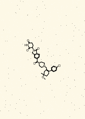 COC1(C)CCC(c2ccc(Cl)cc2)=C(CN2CCN(C(=O)c3ccc4c(c3)CN(C3CCC(=O)NC3=O)C4=O)CC2)C1